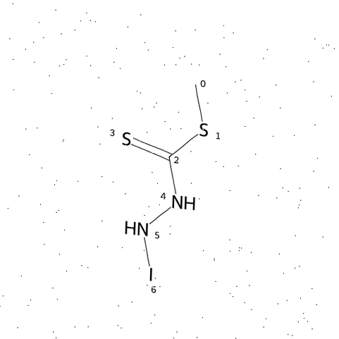 CSC(=S)NNI